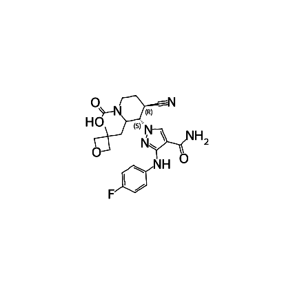 CC1(CC2[C@@H](n3cc(C(N)=O)c(Nc4ccc(F)cc4)n3)[C@H](C#N)CCN2C(=O)O)COC1